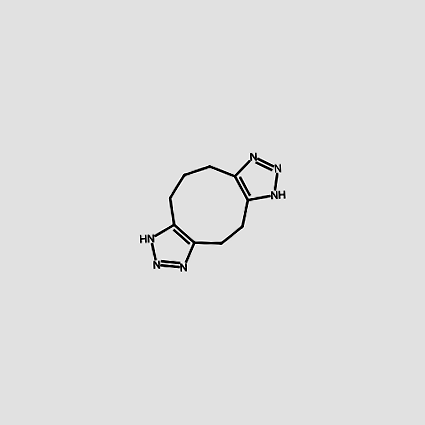 C1Cc2nn[nH]c2CCc2nn[nH]c2C1